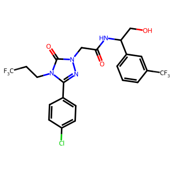 O=C(Cn1nc(-c2ccc(Cl)cc2)n(CCC(F)(F)F)c1=O)NC(CO)c1cccc(C(F)(F)F)c1